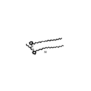 CCCCCCCCCCCCCCCC=CCCCc1ccccc1N=CC(CCCC)=Nc1ccccc1CCCC=CCCCCCCCCCCCCCCC.[Ni]